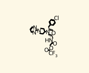 O=C(COC(=O)C(F)(F)F)NC[C@H]1CN(C2CCN(c3ncccn3)CC2)[C@@H](Cc2ccc(Cl)cc2)CO1